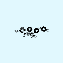 CC(C)CN(C(=O)O)C(=O)NC[C@@H]1OC(=O)N(c2ccc(Oc3ccc(Cl)cc3)cc2)[C@H]1c1ccccc1